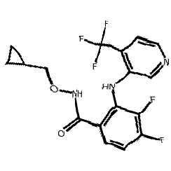 O=C(NOCC1CC1)c1ccc(F)c(F)c1Nc1cnccc1C(F)(F)F